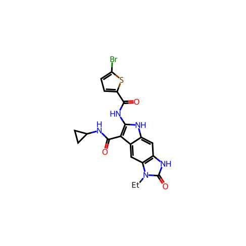 CCn1c(=O)[nH]c2cc3[nH]c(NC(=O)c4ccc(Br)s4)c(C(=O)NC4CC4)c3cc21